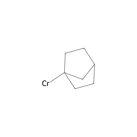 [Cr][C]12CCC(CC1)C2